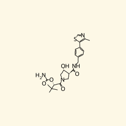 Cc1ncsc1-c1ccc(CNC(=O)[C@H]2CN(C(=O)[C@@H](OC(N)=O)C(C)(C)C)C[C@@H]2O)cc1